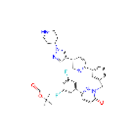 CC(C)(C)OC=O.O=c1ccc(-c2cc(F)cc(F)c2)nn1Cc1cccc(-c2ccc(-c3cnn(C4CCNCC4)c3)cn2)c1